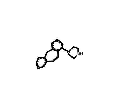 C1=Cc2c(cccc2N2CCNCC2)Cc2ccccc21